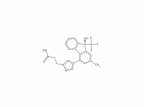 Cc1cc(-c2cnn(CCC(=O)O)c2)c2c(c1)[C@@](O)(C(F)(F)F)c1ccccc1-2